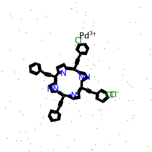 C(#Cc1c2nc(c(C#Cc3ccccc3)c3ccc([nH]3)c(C#Cc3ccccc3)c3nc(c(C#Cc4ccccc4)c4ccc1[nH]4)C=C3)C=C2)c1ccccc1.[Cl-].[Cl-].[Cl-].[Pd+3]